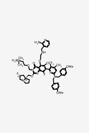 COc1ccc(CN(Cc2ccc(OC)cc2)c2cc(C)c(C(F)(F)F)c(-c3c(Cl)c(OCCNCc4cccnc4N)c4c(=O)n(COCC[Si](C)(C)C)c(OC[C@@]56CCCN5C[C@H](F)C6)nc4c3F)n2)cc1